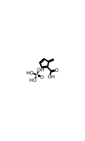 C=C1C=CC=C1C(=O)O.O=P(O)(O)O